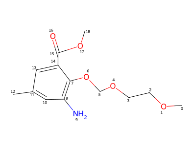 COCCOCOc1c(N)cc(C)cc1C(=O)OC